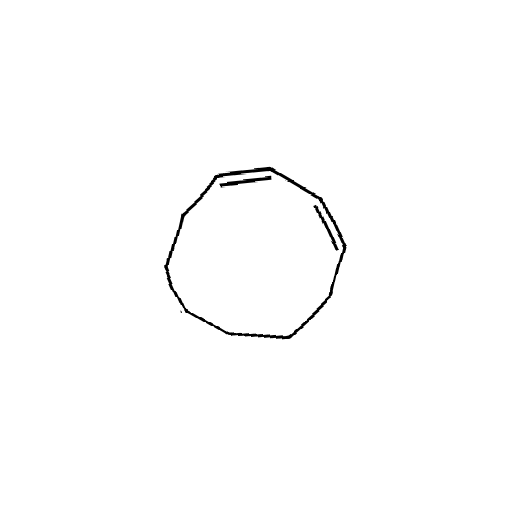 [CH]1CCC=CC=CCCC1